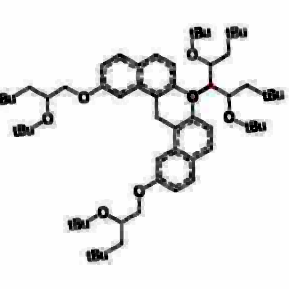 CC(C)(C)CC(COc1ccc2ccc(OCC(CC(C)(C)C)OC(C)(C)C)c(Cc3c(OCC(CC(C)(C)C)OC(C)(C)C)ccc4ccc(OCC(CC(C)(C)C)OC(C)(C)C)cc34)c2c1)OC(C)(C)C